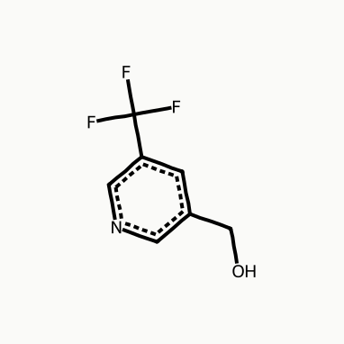 OCc1cncc(C(F)(F)F)c1